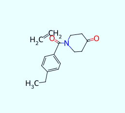 C=C.CCc1ccc(C(=O)N2CCC(=O)CC2)cc1